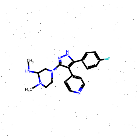 CNC1CN(c2n[nH]c(-c3ccc(F)cc3)c2-c2ccncc2)CCN1C